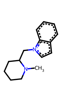 CN1CCCCC1Cn1ccc2ccccc21